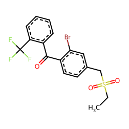 CCS(=O)(=O)Cc1ccc(C(=O)c2ccccc2C(F)(F)F)c(Br)c1